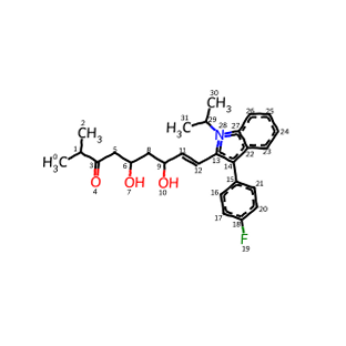 CC(C)C(=O)CC(O)CC(O)/C=C/c1c(-c2ccc(F)cc2)c2ccccc2n1C(C)C